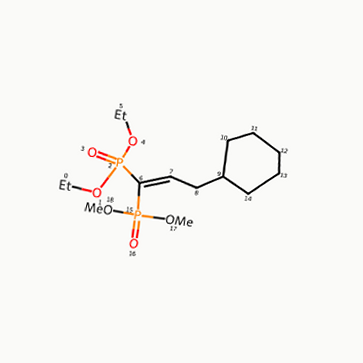 CCOP(=O)(OCC)C(=CCC1CCCCC1)P(=O)(OC)OC